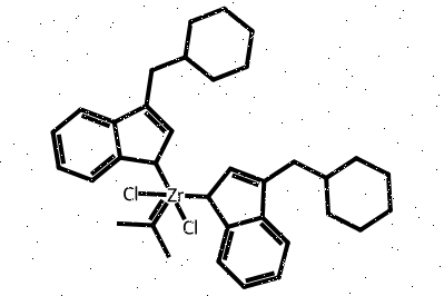 C[C](C)=[Zr]([Cl])([Cl])([CH]1C=C(CC2CCCCC2)c2ccccc21)[CH]1C=C(CC2CCCCC2)c2ccccc21